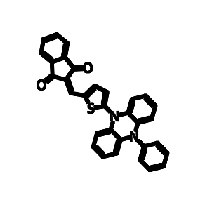 O=C1C(=Cc2ccc(N3c4ccccc4N(c4ccccc4)c4ccccc43)s2)C(=O)c2ccccc21